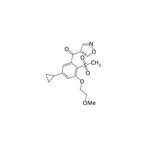 COCCOc1cc(C2CC2)cc(C(=O)c2cnoc2)c1S(C)(=O)=O